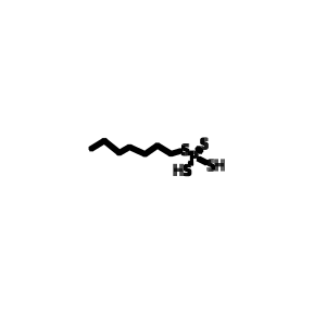 CCCCCCCSP(=S)(S)S